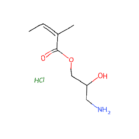 CC=C(C)C(=O)OCC(O)CN.Cl